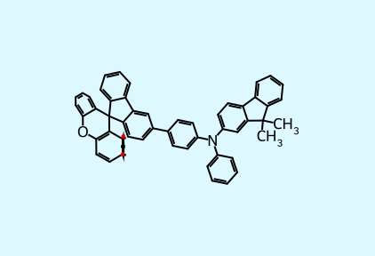 CC1(C)c2ccccc2-c2ccc(N(c3ccccc3)c3ccc(-c4ccc5c(c4)-c4ccccc4C54c5ccccc5Oc5ccc6ccccc6c54)cc3)cc21